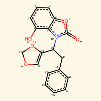 O=c1oc2cccc(O)c2n1C(Cc1ccccc1)C1=COCO1